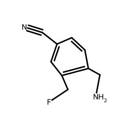 N#Cc1ccc(CN)c(CF)c1